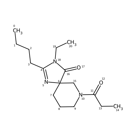 CCCCC1=NC2(CCCN(C(=O)CC)C2)C(=O)N1CC